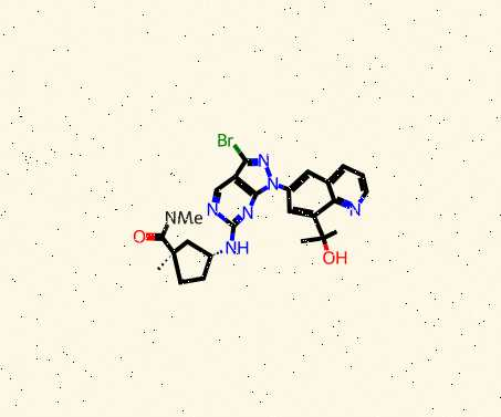 CNC(=O)[C@]1(C)CC[C@@H](Nc2ncc3c(Br)nn(-c4cc(C(C)(C)O)c5ncccc5c4)c3n2)C1